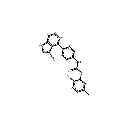 Cc1ccc(F)c(NC(=O)Nc2ccc(-c3nccc4[nH]nc(N)c34)cc2)c1